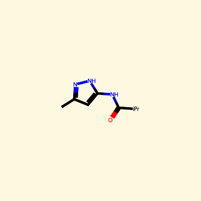 Cc1cc(NC(=O)C(C)C)[nH]n1